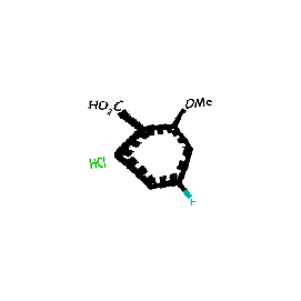 COc1cc(F)ccc1C(=O)O.Cl